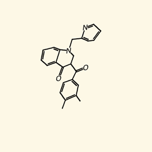 Cc1ccc(C(=O)C2CN(Cc3ccccn3)c3ccccc3C2=O)cc1C